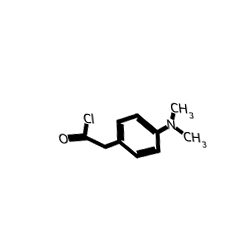 CN(C)c1ccc(CC(=O)Cl)cc1